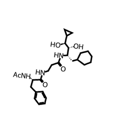 CC(=O)N[C@@H](Cc1ccccc1)C(=O)NCCC(=O)N[C@@H](CC1CCCCC1)[C@@H](O)[C@@H](O)C1CC1